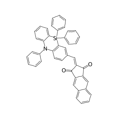 O=C1C(=Cc2ccc3c(c2)[Si](c2ccccc2)(c2ccccc2)c2ccccc2N3c2ccccc2)C(=O)c2cc3ccccc3cc21